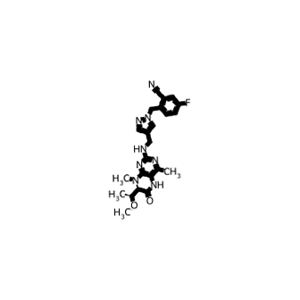 CO[C@H](C)[C@H]1C(=O)Nc2c(C)nc(NCc3cnn(Cc4ccc(F)cc4C#N)c3)nc2N1C